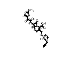 C#CCN1C=NN(SCC2=C(C(=O)O)N3C(=O)C(NC(=O)C(=O)c4csc(N)n4)[C@@H]3SC2)N1